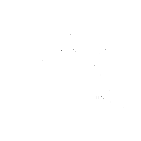 NOS(=O)(=O)c1ccc(S(=O)(=O)ON)c(/N=N/c2c(S(=O)(=O)ON)cc3cc(S(=O)(=O)ON)c(/N=N/c4cc(Nc5nc(N)nc(Cl)n5)ccc4S(=O)(=O)ON)c(O)c3c2N)c1